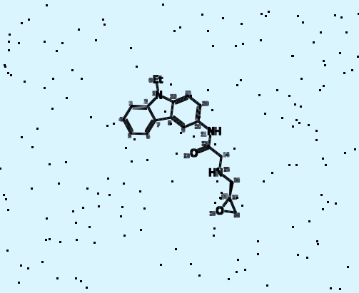 CCn1c2ccccc2c2cc(NC(=O)CNC[C@H]3CO3)ccc21